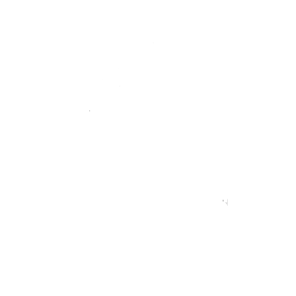 CSC(=O)CC1(CS[C@H](CCc2ccccc2C(C)(C)O)c2cccc(/C=C\c3ccc4ccc(C)cc4n3)c2)CC1